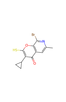 Cc1cc2c(=O)c(C3CC3)c(S)oc2c(Br)n1